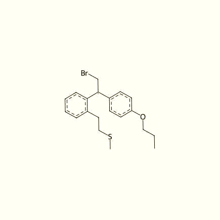 CCCOc1ccc([C](CBr)c2ccccc2CCSC)cc1